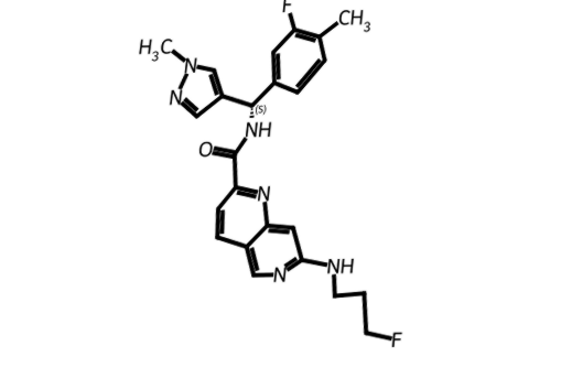 Cc1ccc([C@H](NC(=O)c2ccc3cnc(NCCCF)cc3n2)c2cnn(C)c2)cc1F